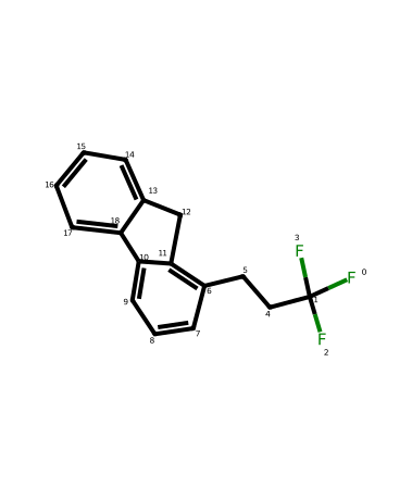 FC(F)(F)CCc1cccc2c1Cc1ccccc1-2